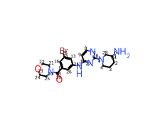 N[C@H]1CCCN(c2nccc(Nc3cc(Br)cc(C(=O)N4CCOCC4)c3)n2)C1